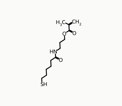 C=C(C)C(=O)OCCCNC(=O)CCCCCS